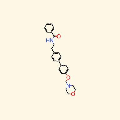 O=C(NCCc1ccc(-c2ccc(OCN3CCOCC3)cc2)cc1)c1ccccc1